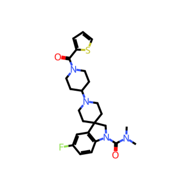 CN(C)C(=O)N1CC2(CCN(C3CCN(C(=O)c4cccs4)CC3)CC2)c2cc(F)ccc21